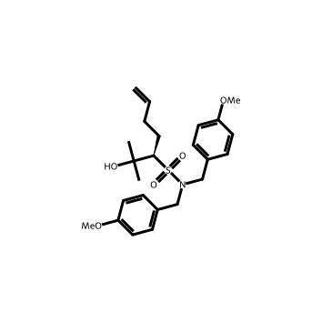 C=CCC[C@H](C(C)(C)O)S(=O)(=O)N(Cc1ccc(OC)cc1)Cc1ccc(OC)cc1